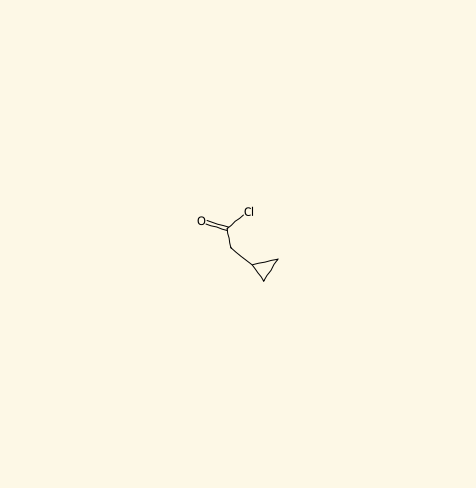 O=C(Cl)CC1CC1